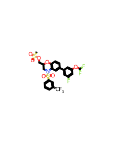 CS(=O)(=O)OCC1CN(S(=O)(=O)c2cccc(C(F)(F)F)c2)c2cc(-c3cc(F)cc(OC(F)F)c3)ccc2O1